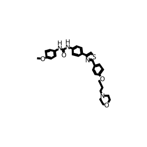 COc1ccc(NC(=O)Nc2ccc(-c3csc(-c4ccc(OCCCN5CCOCC5)cc4)n3)cc2)cc1